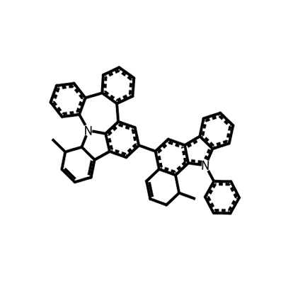 CC1CC=Cc2c(-c3cc4c5c(c3)-c3ccccc3-c3ccccc3N5C3C4=CC=CC3C)cc3c4ccccc4n(-c4ccccc4)c3c21